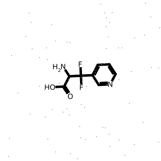 NC(C(=O)O)C(F)(F)c1cccnc1